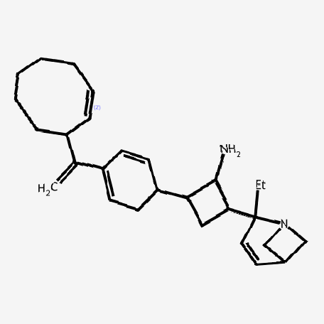 C=C(C1=CCC(C2CC(C3(CC)C=CC4CN3C4)C2N)C=C1)C1/C=C\CCCCC1